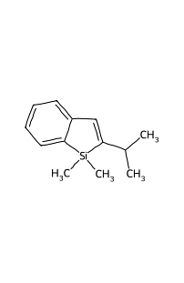 CC(C)C1=Cc2ccccc2[Si]1(C)C